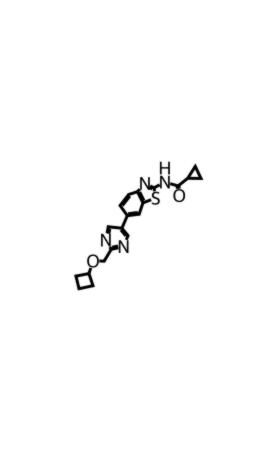 O=C(Nc1nc2ccc(-c3cnc(COC4CCC4)nc3)cc2s1)C1CC1